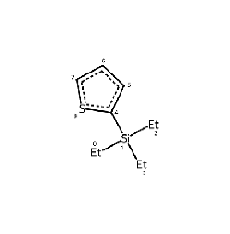 CC[Si](CC)(CC)c1cccs1